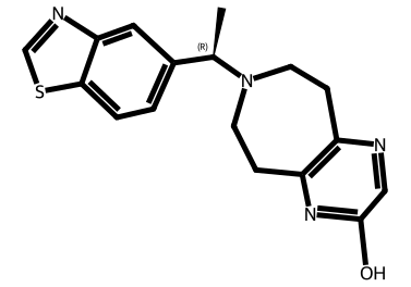 C[C@H](c1ccc2scnc2c1)N1CCc2ncc(O)nc2CC1